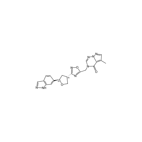 Cc1cnn2ncn(Cc3nc([C@@H]4CO[C@@H](c5ccc6cn[nH]c6c5)C4)no3)c(=O)c12